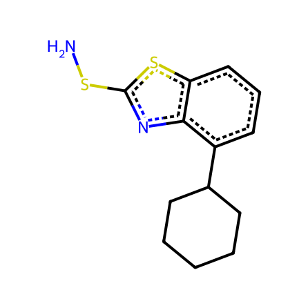 NSc1nc2c(C3CCCCC3)cccc2s1